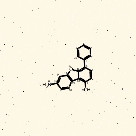 Cc1ccc(-c2ccccc2)c2oc3cc(N)ccc3c12